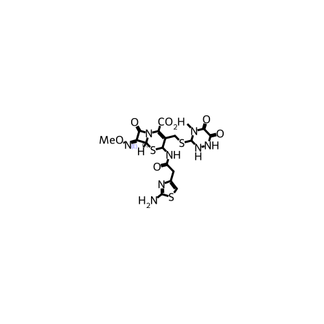 CO/N=C1\C(=O)N2C(C(=O)O)=C(CSC3NNC(=O)C(=O)N3C)C(NC(=O)Cc3csc(N)n3)S[C@H]12